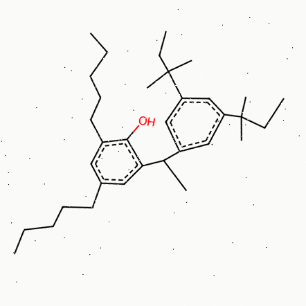 CCCCCc1cc(CCCCC)c(O)c(C(C)c2[c]c(C(C)(C)CC)cc(C(C)(C)CC)c2)c1